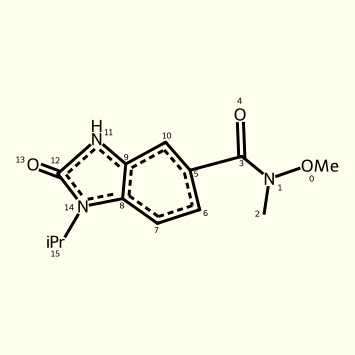 CON(C)C(=O)c1ccc2c(c1)[nH]c(=O)n2C(C)C